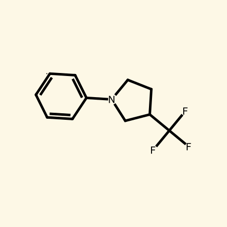 FC(F)(F)C1CCN(c2c[c]ccc2)C1